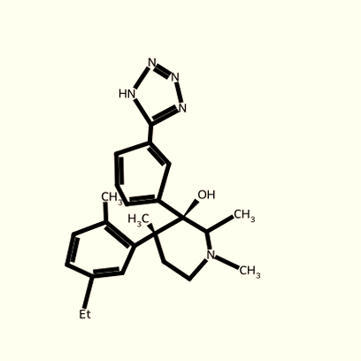 CCc1ccc(C)c([C@@]2(C)CCN(C)C(C)[C@@]2(O)c2cccc(-c3nnn[nH]3)c2)c1